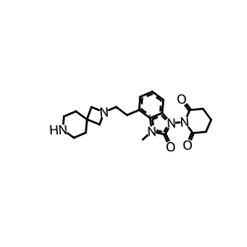 Cn1c(=O)n(N2C(=O)CCCC2=O)c2cccc(CCN3CC4(CCNCC4)C3)c21